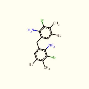 CCc1cc(Cc2cc(CC)c(C)c(Br)c2N)c(N)c(Br)c1C